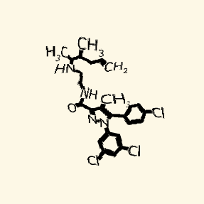 C=CCC(C)C(C)NCCNC(=O)c1nn(-c2cc(Cl)cc(Cl)c2)c(-c2ccc(Cl)cc2)c1C